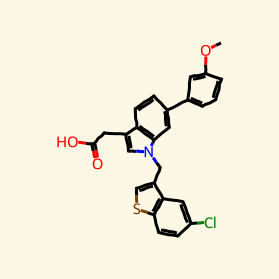 COc1cccc(-c2ccc3c(CC(=O)O)cn(Cc4csc5ccc(Cl)cc45)c3c2)c1